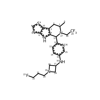 CC1Cc2c([nH]c3ncsc23)C(c2ccc(NC3CN(CCCF)C3)cn2)N1CC(F)(F)F